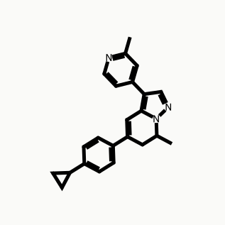 Cc1cc(-c2cnn3c2C=C(c2ccc(C4CC4)cc2)CC3C)ccn1